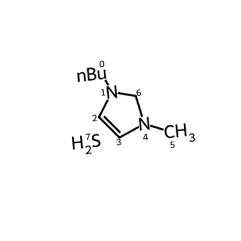 CCCCN1C=CN(C)C1.S